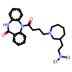 CCN(CC)CCC1CCCCN(CCCC(=O)N2c3ccccc3NC(=O)c3ccccc32)C1